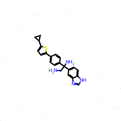 NCC(N)(c1ccc(-c2ccc(C3CC3)s2)cc1)c1ccc2[nH]cnc2c1